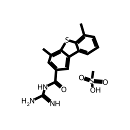 CS(=O)(=O)O.Cc1cccc2c1sc1c(C)cc(C(=O)NC(=N)N)cc12